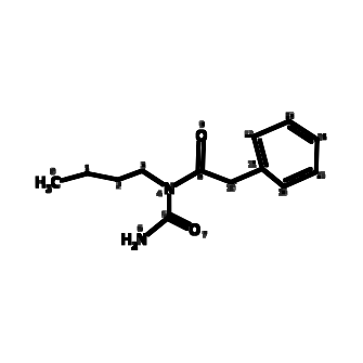 CCCCN(C(N)=O)C(=O)[CH]c1ccccc1